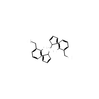 ClCc1ccccc1[O][Zr]([O]c1ccccc1CCl)([CH]1C=CC=C1)[CH]1C=CC=C1